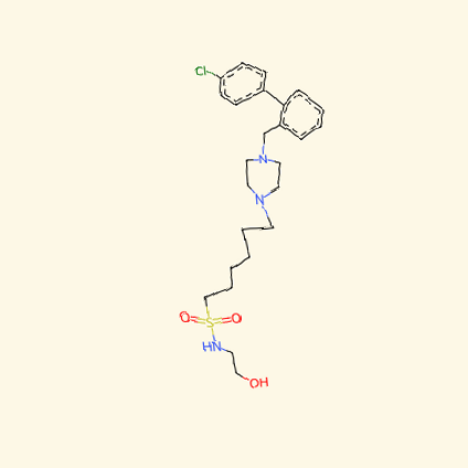 O=S(=O)(CCCCCCN1CCN(Cc2ccccc2-c2ccc(Cl)cc2)CC1)NCCO